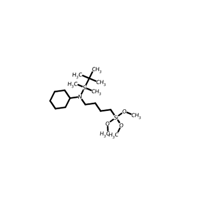 CO[Si](CCCCN(C1CCCCC1)[Si](C)(C)C(C)(C)C)(OC)OC